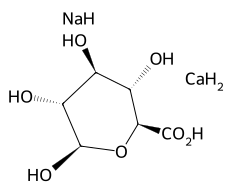 O=C(O)[C@H]1O[C@@H](O)[C@H](O)[C@@H](O)[C@@H]1O.[CaH2].[NaH]